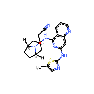 Cc1cnc(Nc2cc3ncccc3c(N[C@@H]3C[C@H]4CC[C@@H](C3)N4CCC#N)n2)s1